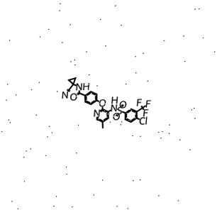 Cc1cnc(Oc2ccc(C(=O)NC3(C#N)CC3)cc2)c(NS(=O)(=O)c2ccc(Cl)c(C(F)(F)F)c2)c1